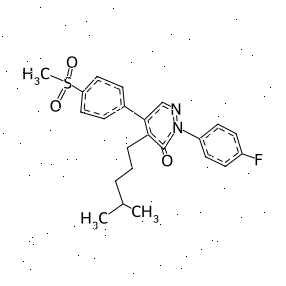 CC(C)CCCc1c(-c2ccc(S(C)(=O)=O)cc2)cnn(-c2ccc(F)cc2)c1=O